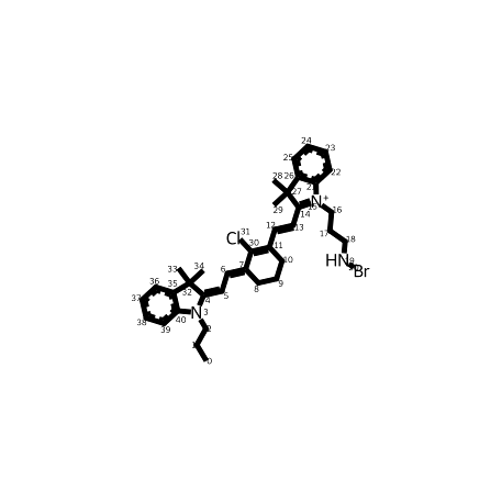 CCCN1/C(=C/C=C2\CCCC(/C=C/C3=[N+](CCCNBr)c4ccccc4C3(C)C)=C2Cl)C(C)(C)c2ccccc21